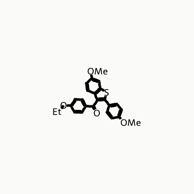 CCOc1ccc(C(=O)c2c(-c3ccc(OC)cc3)sc3cc(OC)ccc23)cc1